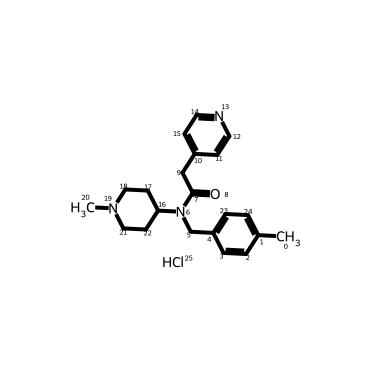 Cc1ccc(CN(C(=O)Cc2ccncc2)C2CCN(C)CC2)cc1.Cl